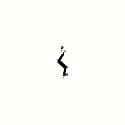 OC=CI.[Li]